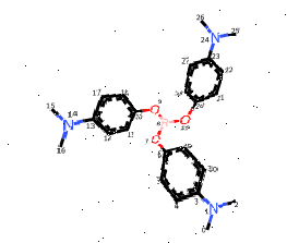 CN(C)c1ccc(OB(Oc2ccc(N(C)C)cc2)Oc2ccc(N(C)C)cc2)cc1